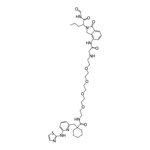 CCCC(C(=O)NC=O)N1Cc2c(NC(=O)CNCCOCCOCCOCCOCCNC(=O)C3(Cc4cccc(Nc5nccs5)n4)CCCCC3)cccc2C1=O